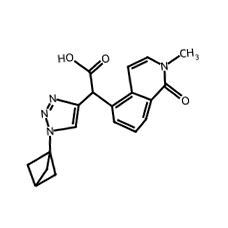 Cn1ccc2c(C(C(=O)O)c3cn(C45CC(C4)C5)nn3)cccc2c1=O